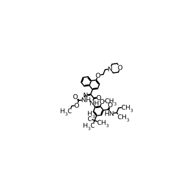 CCOC(=O)NN=C(C(=O)Nc1cc(C(C)(C)C)cc(C(=O)NC(C)CC)c1OC)c1ccc(OCCN2CCOCC2)c2ccccc12